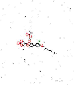 C=C(C)C(=O)OCCOc1cc(-c2ccc(OCCCCCCCCCC)c(F)c2)ccc1OCC1COC(=O)OC1